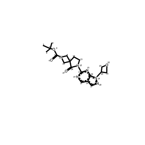 CC(C)(C)OC(=O)N1CC2(CCN(c3ncc4cnn(C5COC5)c4n3)C2=O)C1